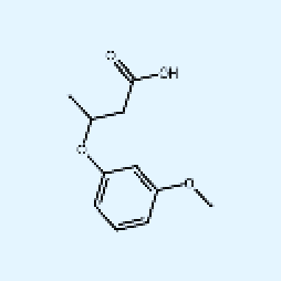 COc1cccc(OC(C)CC(=O)O)c1